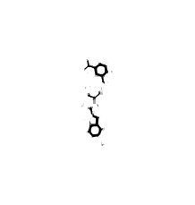 COc1ccc2oc(C(=O)NC(C=O)COCc3cccc(C(C)C)c3)cc2c1